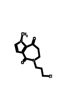 Cn1ccc2c1C(=O)CCN(CCCCl)C2=O